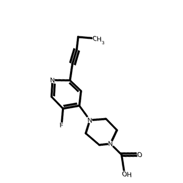 CCC#Cc1cc(N2CCN(C(=O)O)CC2)c(F)cn1